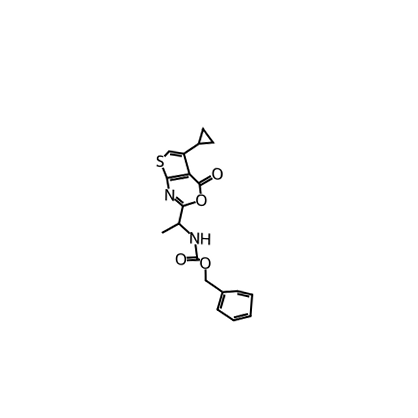 CC(NC(=O)OCc1ccccc1)c1nc2scc(C3CC3)c2c(=O)o1